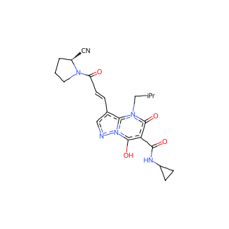 CC(C)Cn1c(=O)c(C(=O)NC2CC2)c(O)n2ncc(/C=C/C(=O)N3CCC[C@H]3C#N)c12